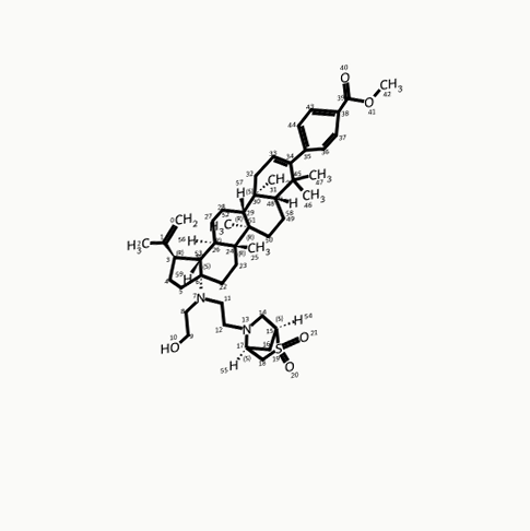 C=C(C)[C@@H]1CC[C@]2(N(CCO)CCN3C[C@@H]4C[C@H]3CS4(=O)=O)CC[C@]3(C)[C@H](CC[C@@H]4[C@@]5(C)CC=C(c6ccc(C(=O)OC)cc6)C(C)(C)[C@@H]5CC[C@]43C)[C@@H]12